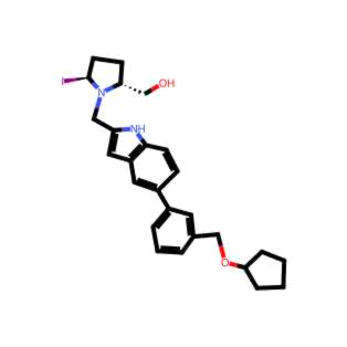 OC[C@H]1CC[C@H](I)N1Cc1cc2cc(-c3cccc(COC4CCCC4)c3)ccc2[nH]1